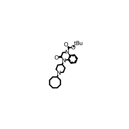 CC(C)(C)OC(=O)N1CC(=O)N(C2CCN(C3CCCCCCC3)CC2)c2ccccc21